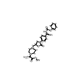 CC(C)OC(=O)C(C)N1CCN(CC2CN(c3ccc(C(=N)NC(=O)Oc4ccccc4)cc3)C(=O)O2)CC1